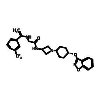 C=C(NCC(=O)NC1CN([C@H]2CC[C@@H](Oc3noc4ccccc34)CC2)C1)c1cccc(C(F)(F)F)c1